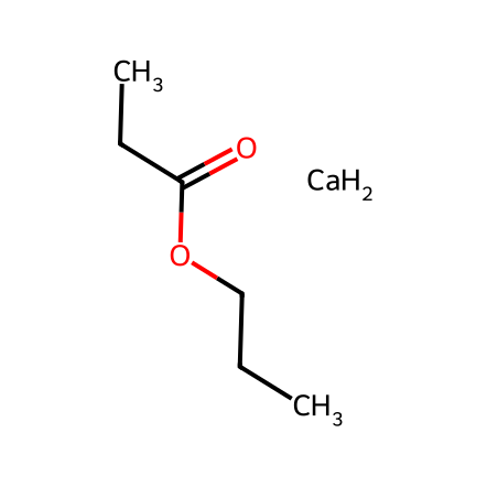 CCCOC(=O)CC.[CaH2]